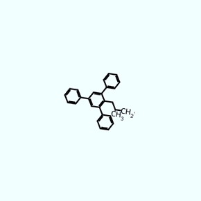 [CH2]C(C)Cc1c(-c2ccccc2)cc(-c2ccccc2)cc1-c1ccccc1